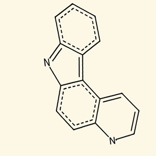 C1=C[N]c2ccc3c(c2=C1)=c1ccccc1=N3